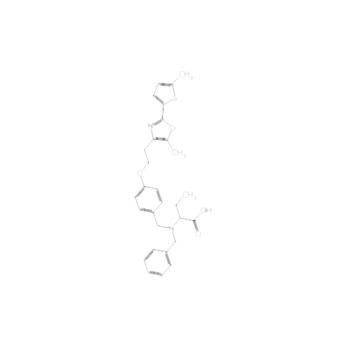 CCC(C(=O)O)N(Cc1ccccc1)Cc1ccc(OCCc2nc(-c3ccc(C)s3)oc2C)cc1